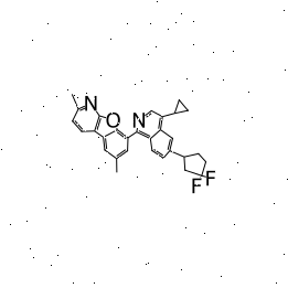 Cc1cc(-c2ncc(C3CC3)c3cc(C4CCC(F)(F)C4)ccc23)c2oc3nc(C)ccc3c2c1